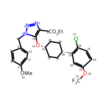 CCOC(=O)c1nnn(Cc2ccc(OC)cc2)c1O[C@H]1CC[C@@H](c2cc(OC(F)(F)F)ccc2Cl)CC1